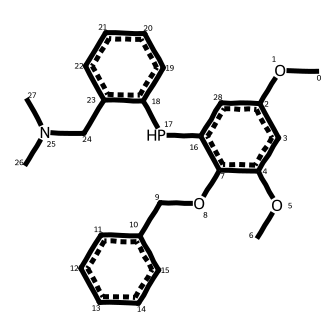 COc1cc(OC)c(OCc2ccccc2)c(Pc2ccccc2CN(C)C)c1